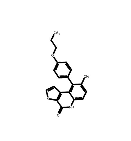 CCCOc1ccc(-c2c(O)ccc3[nH]c(=O)c4sccc4c23)cc1